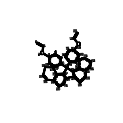 C=COc1ccc(C2(c3ccc(OC=C)cc3)c3c(ccc4c3CCC=C4)-c3ccc4ccccc4c32)cc1